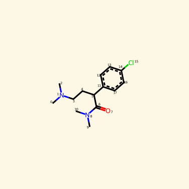 CN(C)CCC(C(=O)N(C)C)c1ccc(Cl)cc1